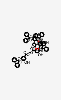 O=C(OCOC(=O)c1cc(O)c2c(c1[C@@H]1OC[C@@H](c3c(C(=O)O)cc(O)c4c3OC(c3ccccc3)(c3ccccc3)O4)[C@@H]1c1c(C(=O)O)cc(O)c3c1OC(c1ccccc1)(c1ccccc1)O3)OC(c1ccccc1)(c1ccccc1)O2)c1cc(O)c2c(c1)OC(c1ccccc1)(c1ccccc1)O2